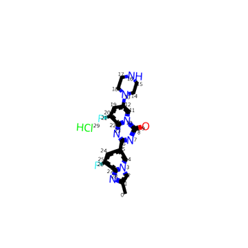 Cc1cn2cc(-c3nc(=O)n4cc(N5CCNCC5)cc(F)c4n3)cc(F)c2n1.Cl